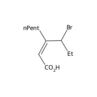 CCCCCC(=CC(=O)O)C(Br)CC